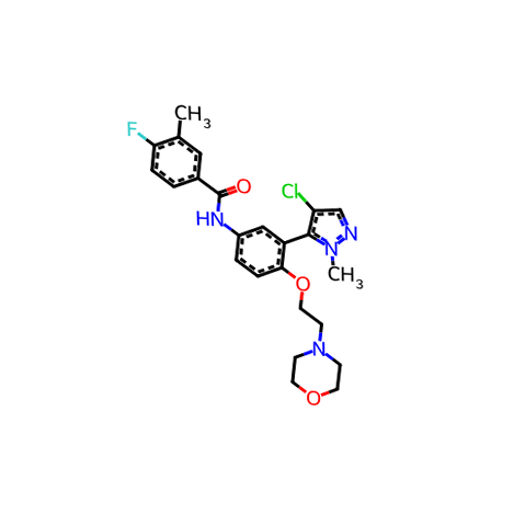 Cc1cc(C(=O)Nc2ccc(OCCN3CCOCC3)c(-c3c(Cl)cnn3C)c2)ccc1F